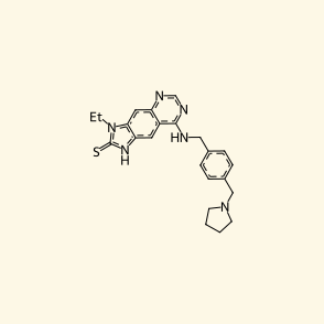 CCn1c(=S)[nH]c2cc3c(NCc4ccc(CN5CCCC5)cc4)ncnc3cc21